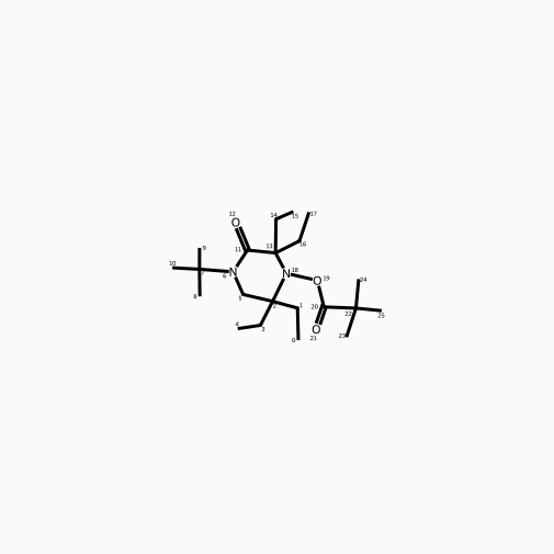 CCC1(CC)CN(C(C)(C)C)C(=O)C(CC)(CC)N1OC(=O)C(C)(C)C